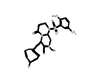 COc1ccc(C)cc1S(=O)(=O)N1CCC(=O)N2C(Cc3ccc(Cl)cc3)C(=O)N(C(C)C)CC21